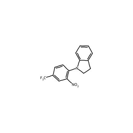 O=[N+]([O-])c1cc(C(F)(F)F)ccc1N1CCc2ccccc21